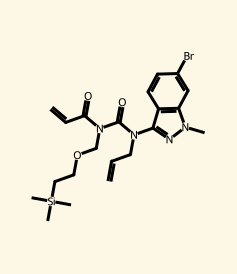 C=CCN(C(=O)N(COCC[Si](C)(C)C)C(=O)C=C)c1nn(C)c2cc(Br)ccc12